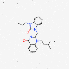 CCCn1c(=O)n(Cc2nc(=O)c3ccccc3n2CCC(C)C)c2ccccc21